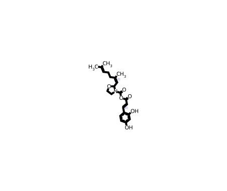 CC(C)=CCC/C(C)=C\C1OCCN1C(=O)OC(=O)/C=C/c1ccc(O)cc1O